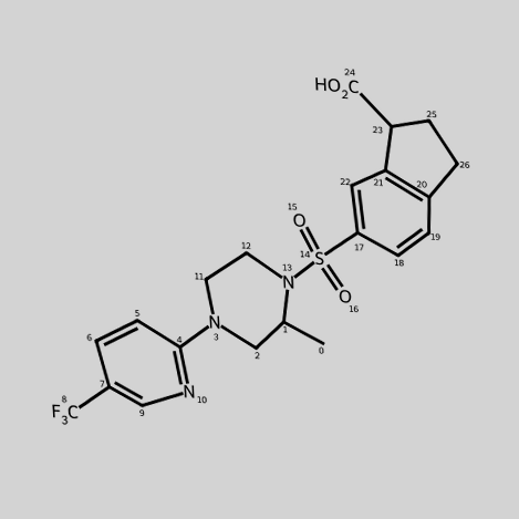 CC1CN(c2ccc(C(F)(F)F)cn2)CCN1S(=O)(=O)c1ccc2c(c1)C(C(=O)O)CC2